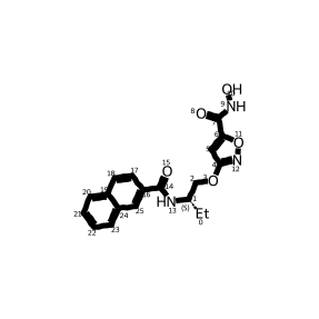 CC[C@@H](COc1cc(C(=O)NO)on1)NC(=O)c1ccc2ccccc2c1